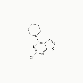 Clc1nc(N2CCCCC2)c2ccsc2n1